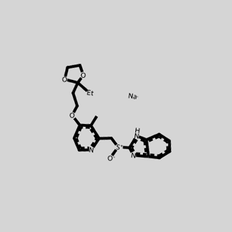 CCC1(CCOc2ccnc(C[S+]([O-])c3nc4ccccc4[nH]3)c2C)OCCO1.[Na]